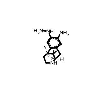 CC1(C)[C@H]2Cc3cc(N)c(NN)cc3[C@]1(C)CCN2